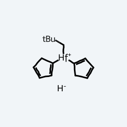 CC(C)(C)[CH2][Hf+]([C]1=CC=CC1)[C]1=CC=CC1.[H-]